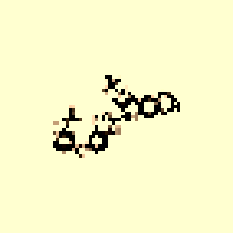 CC(C)Nc1cc(Oc2ccc(NC(=O)Nc3cn(C(C)(C)C)nc3-c3ccc4c(c3)CCN(C)C4)c(F)c2)ccn1